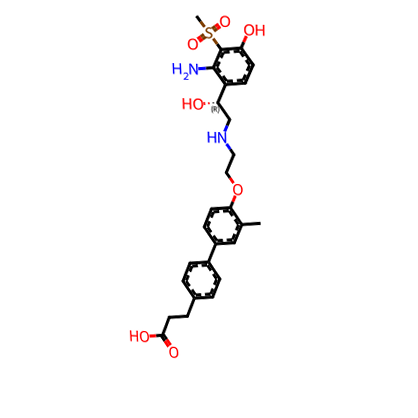 Cc1cc(-c2ccc(CCC(=O)O)cc2)ccc1OCCNC[C@H](O)c1ccc(O)c(S(C)(=O)=O)c1N